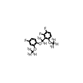 [2H]C([2H])([2H])Oc1cc(F)ccc1OC([2H])([2H])c1c(OC([2H])([2H])[2H])ccc(F)c1F